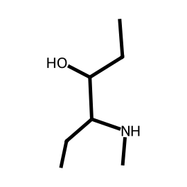 CCC(O)C(CC)NC